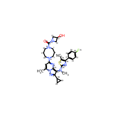 Cc1cc(N2CCCN(C(=O)N3CC(O)C3)CCC2)nc2c(N(C)c3nc(-c4ccc(F)cc4)c(C#N)s3)c(C3CC3)nn12